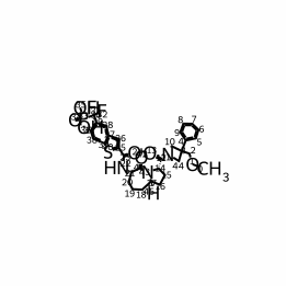 COCC1(c2ccccc2)CN(C(=O)[C@@H]2CC[C@@H]3CCC[C@H](NC(=O)c4cc5cc(C(F)(F)P(=O)(O)O)ccc5s4)C(=O)N32)C1